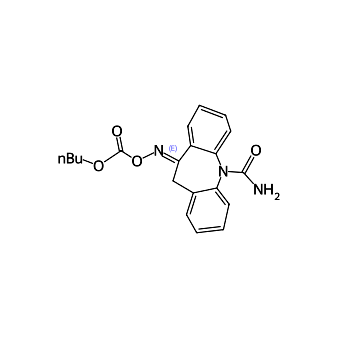 CCCCOC(=O)O/N=C1\Cc2ccccc2N(C(N)=O)c2ccccc21